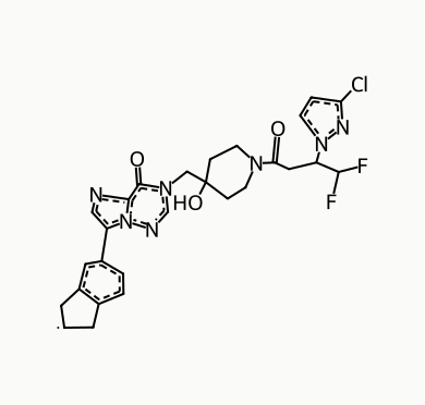 O=C(CC(C(F)F)n1ccc(Cl)n1)N1CCC(O)(Cn2cnn3c(-c4ccc5c(c4)C[CH]C5)cnc3c2=O)CC1